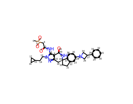 CS(=O)(=O)CC(=O)Nc1c2c(nn1CCC1CC1)C[C@@]1(CCc3cc(N4CC(c5ccccc5)C4)ccc31)NC2=O